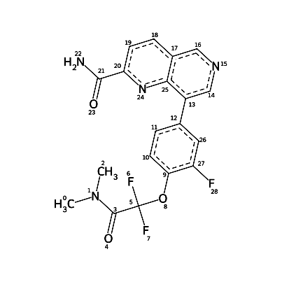 CN(C)C(=O)C(F)(F)Oc1ccc(-c2cncc3ccc(C(N)=O)nc23)cc1F